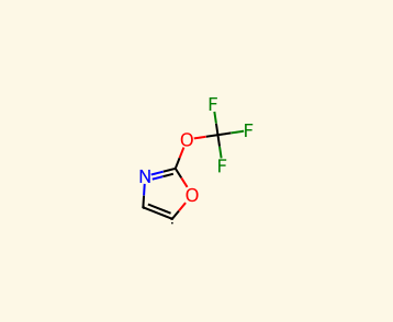 FC(F)(F)Oc1nc[c]o1